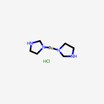 C1C[N]([Ru][N]2CCNC2)CN1.Cl